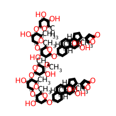 CO[C@H]1[C@@H](O)C[C@H](O[C@H]2[C@@H](O)C[C@H](O[C@H]3[C@@H](O)C[C@H](O[C@H]4CC[C@@]5(C)[C@H](CC[C@@H]6[C@@H]5C[C@@H](O)[C@]5(C)[C@@H](C7=CC(=O)OC7)CC[C@]65O)C4)O[C@@H]3C)O[C@@H]2C)O[C@@H]1C.C[C@H]1O[C@@H](O[C@H]2[C@@H](O)C[C@H](O[C@H]3[C@@H](O)C[C@H](O[C@H]4CC[C@@]5(C)[C@H](CC[C@@H]6[C@@H]5C[C@@H](O)[C@]5(C)[C@@H](C7=CC(=O)OC7)CC[C@]65O)C4)O[C@@H]3C)O[C@@H]2C)C[C@H](O)[C@@H]1O